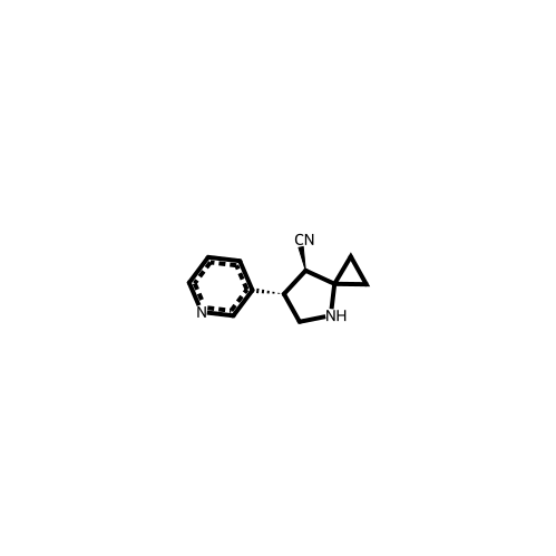 N#C[C@@H]1[C@@H](c2cccnc2)CNC12CC2